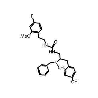 COc1cc(F)ccc1CCNC(=O)NCC(Cc1ccc(O)cc1)N(C)Cc1ccccc1